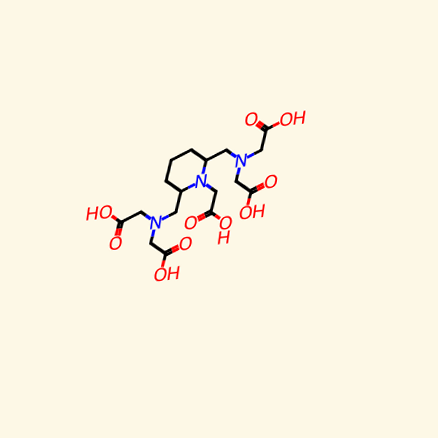 O=C(O)CN(CC(=O)O)CC1CCCC(CN(CC(=O)O)CC(=O)O)N1CC(=O)O